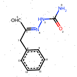 NC(=O)NN=C([C]=O)Cc1ccccc1